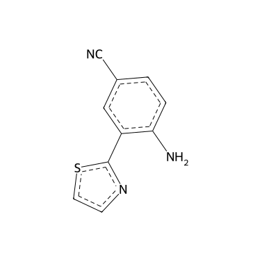 N#Cc1ccc(N)c(-c2nccs2)c1